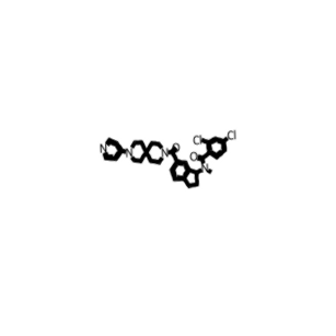 CN(C(=O)c1ccc(Cl)cc1Cl)C1CCc2ccc(C(=O)N3CCC4(CC3)CCN(c3ccncc3)CC4)cc21